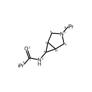 CC(C)C(=O)NC1C2CN(C(C)C)CC21